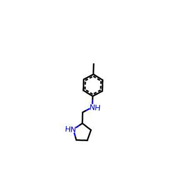 Cc1ccc(NCC2CCCN2)cc1